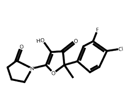 CC1(c2ccc(Cl)c(F)c2)OC(N2CCCC2=O)=C(O)C1=O